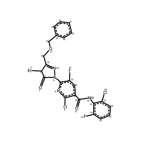 CCC1C(=O)N(c2nc(Cl)c(C(=O)Nc3c(F)cccc3Cl)cc2F)N=C1COCc1ccccc1